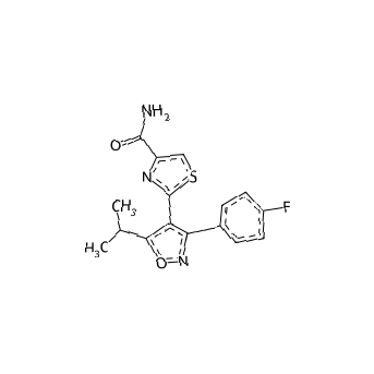 CC(C)c1onc(-c2ccc(F)cc2)c1-c1nc(C(N)=O)cs1